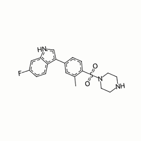 Cc1cc(-c2c[nH]c3cc(F)ccc23)ccc1S(=O)(=O)N1CCNCC1